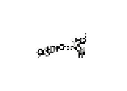 Cc1cccc(S(=O)(=O)N2CCN(c3ccc(CO[C@H]4CO[C@](Cn5ccnc5)(c5ccc(Cl)cc5Cl)OC4)cc3)CC2)c1